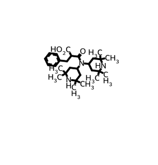 CC1(C)CC(N(C(=O)C(Cc2ccccc2)C(=O)O)C2CC(C)(C)NC(C)(C)C2)CC(C)(C)N1